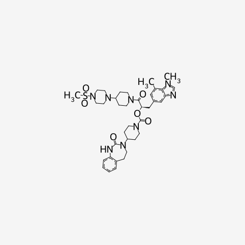 Cc1cc(C[C@@H](OC(=O)N2CCC(N3CCc4ccccc4NC3=O)CC2)C(=O)N2CCC(N3CCN(S(C)(=O)=O)CC3)CC2)cc2ncn(C)c12